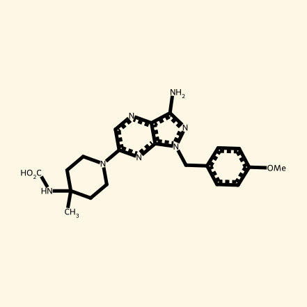 COc1ccc(Cn2nc(N)c3ncc(N4CCC(C)(NC(=O)O)CC4)nc32)cc1